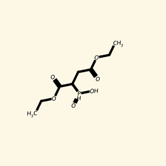 CCOC(=O)CC(C(=O)OCC)[PH](=O)O